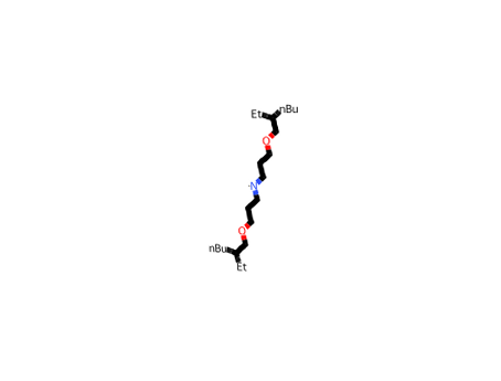 CCCCC(CC)COCCC[N]CCCOCC(CC)CCCC